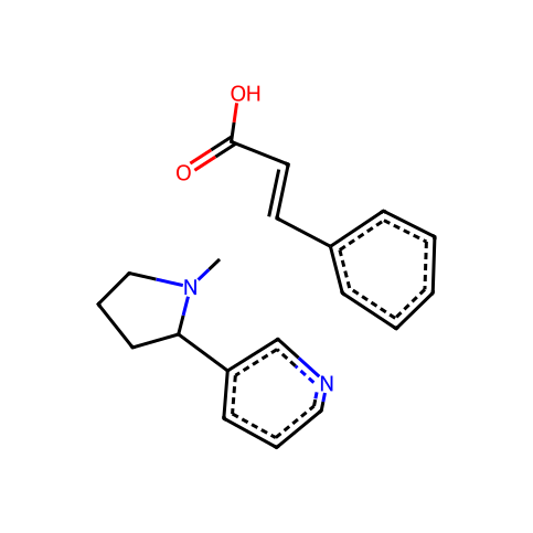 CN1CCCC1c1cccnc1.O=C(O)C=Cc1ccccc1